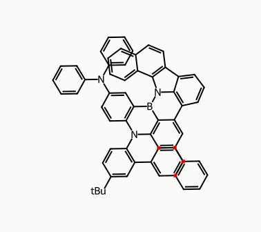 CC(C)(C)c1ccc(N2c3ccc(N(c4ccccc4)c4ccccc4)cc3B3c4c(cc(-c5ccccc5)cc42)-c2cccc4c5ccc6ccccc6c5n3c24)c(-c2ccccc2)c1